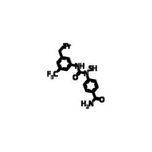 CC(C)Cc1cc(NC(=O)N(S)c2ccc(C(N)=O)cc2)cc(C(F)(F)F)c1